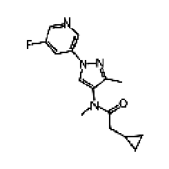 Cc1nn(-c2cncc(F)c2)cc1N(C)C(=O)CC1CC1